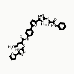 C=CCC(Sc1nnc(C2CC=CO2)[nH]1)C(=O)Nc1ccc(-c2ccc(-c3nnc(SC(O)C(=O)Nc4ccccc4)[nH]3)o2)cc1